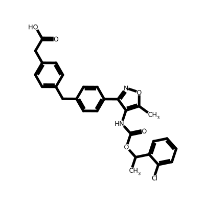 Cc1onc(-c2ccc(Cc3ccc(CC(=O)O)cc3)cc2)c1NC(=O)OC(C)c1ccccc1Cl